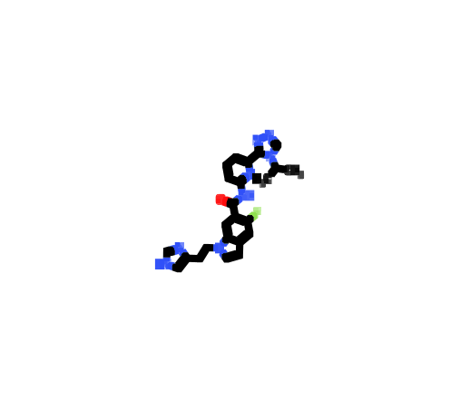 CC(C)n1cnnc1-c1cccc(NC(=O)c2cc3c(ccn3CCc3c[nH]cn3)cc2F)n1